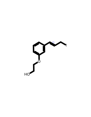 OCCOc1cccc(/C=C/CI)c1